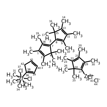 CC1=C(C)C(C)(C)C(C2=C(C)C(C)=C(C)C2(C)C)=C1C.CC1=C(C)C(C)(C)[C]([Zr+2])=C1C.[CH3][Zr]([CH3])([CH3])([CH3])([Cl])([Cl])[C]1=CC=CC1.[Cl-].[Cl-]